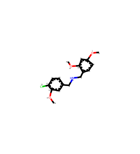 COc1ccc(CNCc2ccc(Cl)c(OC)c2)c(OC)c1